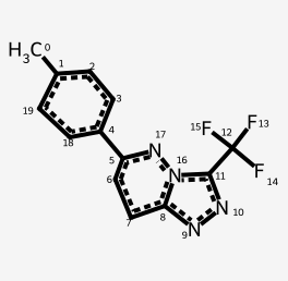 Cc1ccc(-c2ccc3nnc(C(F)(F)F)n3n2)cc1